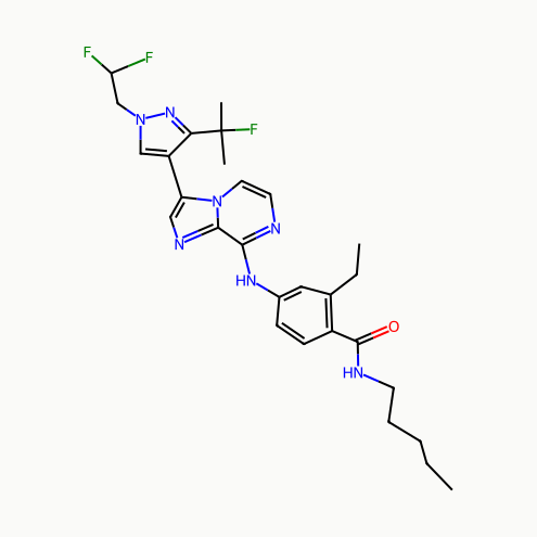 CCCCCNC(=O)c1ccc(Nc2nccn3c(-c4cn(CC(F)F)nc4C(C)(C)F)cnc23)cc1CC